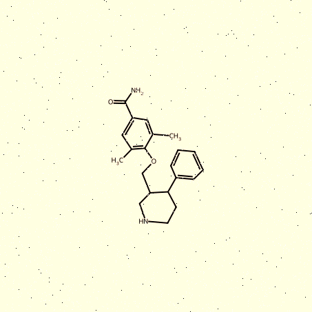 Cc1cc(C(N)=O)cc(C)c1OCC1CNCCC1c1ccccc1